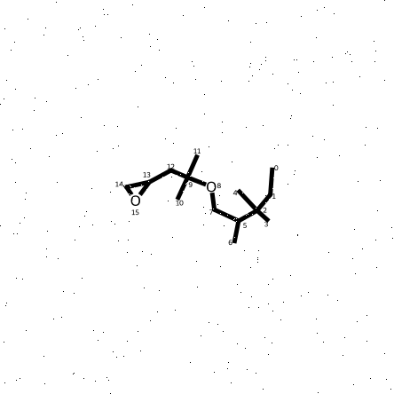 CCC(C)(C)C(C)COC(C)(C)CC1CO1